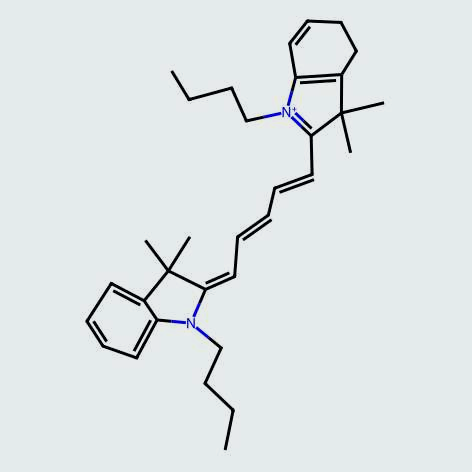 CCCCN1/C(=C/C=C/C=C/C2=[N+](CCCC)C3=C(CCC=C3)C2(C)C)C(C)(C)c2ccccc21